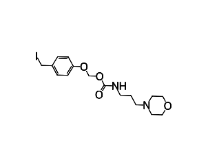 O=C(NCCCN1CCOCC1)OCOc1ccc(CI)cc1